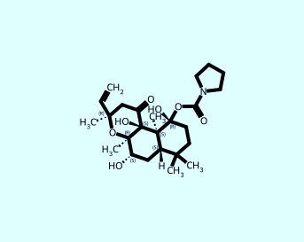 C=C[C@@]1(C)CC(=O)[C@]2(O)[C@]3(C)[C@@H](C[C@H](O)[C@@]2(C)O1)C(C)(C)CC[C@@]3(O)OC(=O)N1CCCC1